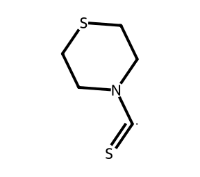 S=[C]N1CCSCC1